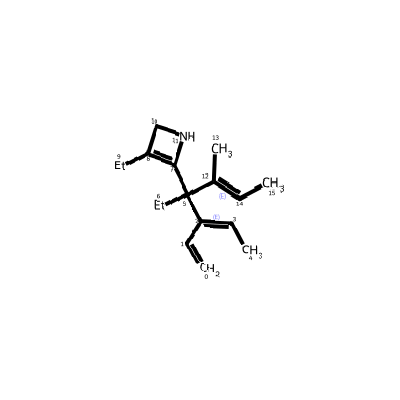 C=C/C(=C\C)C(CC)(C1=C(CC)CN1)/C(C)=C/C